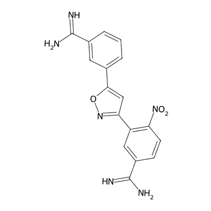 N=C(N)c1cccc(-c2cc(-c3cc(C(=N)N)ccc3[N+](=O)[O-])no2)c1